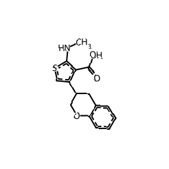 CNc1scc(C2COc3ccccc3C2)c1C(=O)O